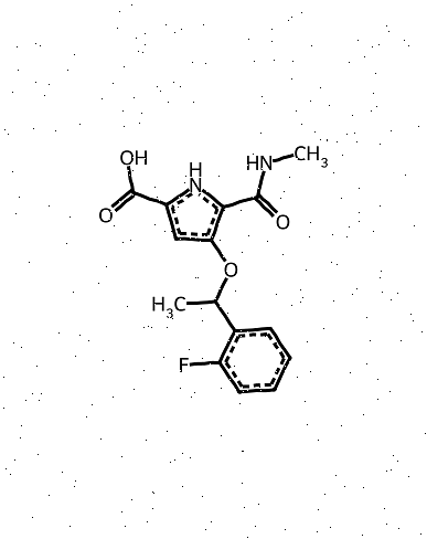 CNC(=O)c1[nH]c(C(=O)O)cc1OC(C)c1ccccc1F